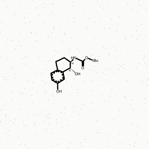 CC(C)(C)OC(=O)N[C@@H]1CCc2ccc(O)cc2[C@H]1O